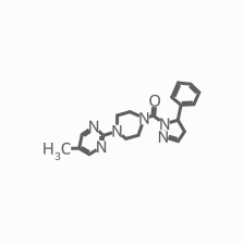 Cc1cnc(N2CCN(C(=O)N3N=CCC3c3ccccc3)CC2)nc1